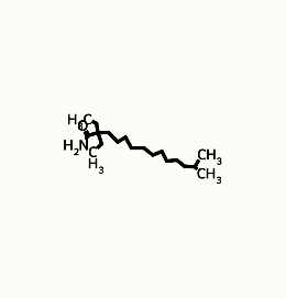 CCC(CC)(CCCCCCCCCCC(C)C)C(N)=O